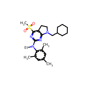 CCN(c1nc2c(c(S(C)(=O)=O)n1)CCN2CC1CCCCC1)c1c(C)cc(C)cc1C